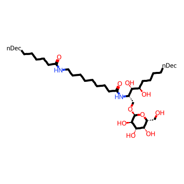 CCCCCCCCCCCCCCCC(=O)NCCCCCCCCC(=O)N[C@@H](CO[C@H]1O[C@H](CO)[C@H](O)[C@H](O)[C@H]1O)[C@H](O)[C@H](O)CCCCCCCCCCCCCC